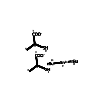 CC(S)C(=O)[O-].CC(S)C(=O)[O-].CCC[CH2][Sn+2][CH2]CCC